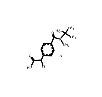 CC(C)(C)N(N)C(=O)c1ccc(C(Cl)C(=O)O)cc1.[Pt]